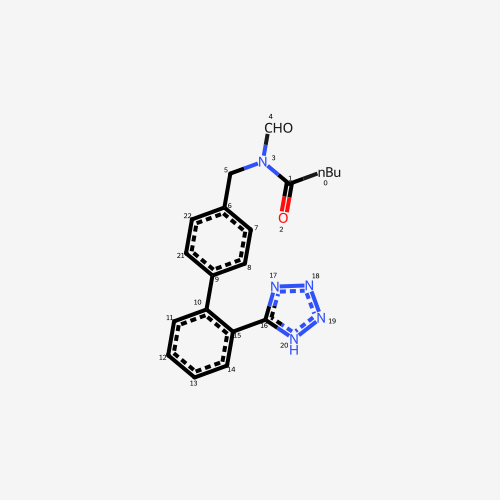 CCCCC(=O)N(C=O)Cc1ccc(-c2ccccc2-c2nnn[nH]2)cc1